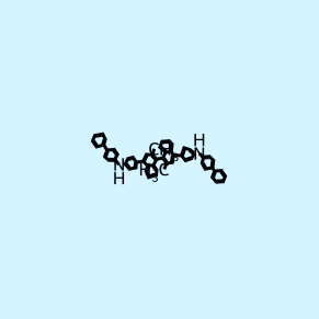 Cc1cc(-c2ccc(Nc3ccc(-c4ccccc4)cc3)cc2)c2ccccc2c1-c1c(C)cc(-c2ccc(Nc3ccc(-c4ccccc4)cc3)cc2)c2ccccc12